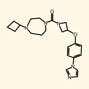 O=C(N1CCCN(C2CCC2)CC1)N1CC(Oc2ccc(-n3ccnc3)cc2)C1